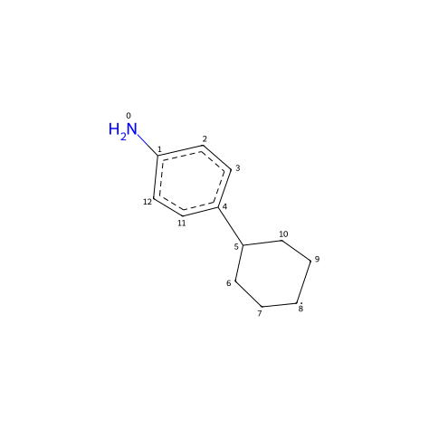 Nc1ccc(C2CC[CH]CC2)cc1